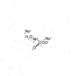 N.O.O=C([O-])[O-].[Na+].[Na+]